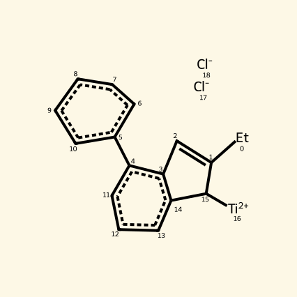 CCC1=Cc2c(-c3ccccc3)cccc2[CH]1[Ti+2].[Cl-].[Cl-]